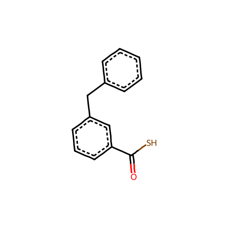 O=C(S)c1cccc(Cc2ccccc2)c1